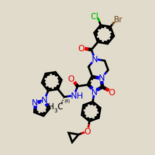 C[C@@H](NC(=O)c1c2n(c(=O)n1-c1ccc(OC3CC3)cc1)CCN(C(=O)c1ccc(Br)c(Cl)c1)C2)c1ccccc1-n1cccn1